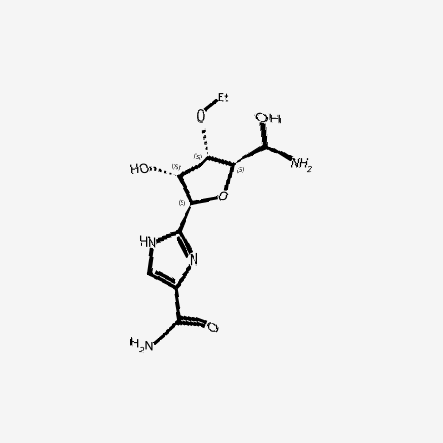 CCO[C@H]1[C@@H](O)[C@H](c2nc(C(N)=O)c[nH]2)O[C@@H]1C(N)O